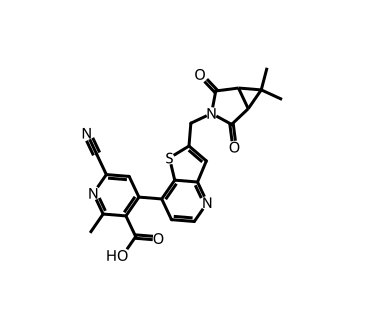 Cc1nc(C#N)cc(-c2ccnc3cc(CN4C(=O)C5C(C4=O)C5(C)C)sc23)c1C(=O)O